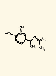 CC(=CC(C)c1ccc(O)c(O)c1)C(=O)O